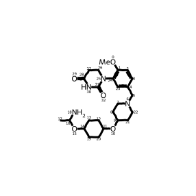 COc1ccc(CN2CCC(OC3CCC(OC(C)N)CC3)CC2)cc1N1CCC(=O)NC1=O